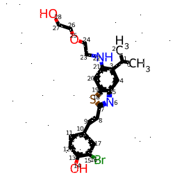 CC(C)c1cc2nc(/C=C/c3ccc(O)c(Br)c3)sc2cc1NCCOCCO